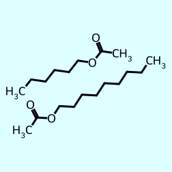 CCCCCCCCCOC(C)=O.CCCCCCOC(C)=O